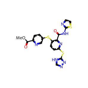 COC(=O)c1ccc(Sc2ccc(Sc3nnc[nH]3)nc2C(=O)Nc2nccs2)cn1